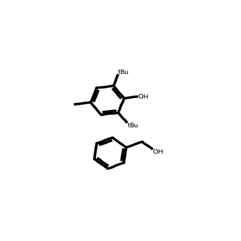 Cc1cc(C(C)(C)C)c(O)c(C(C)(C)C)c1.OCc1ccccc1